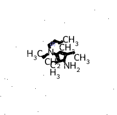 C=C(C)/C=C\N(C(=C)C)C1=C(C)C(N)C(CC)=C1